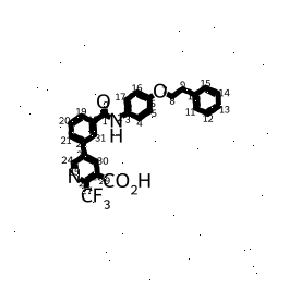 O=C(Nc1ccc(OCCc2ccccc2)cc1)c1cccc(-c2cnc(C(F)(F)F)c(C(=O)O)c2)c1